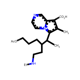 CCNCCC(CCCOC(C)=O)C(C)c1c(C)c(C(=O)O)c2cnccn12